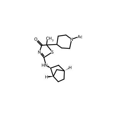 CC(=O)N1CCC(C2(C)SC(N[C@H]3C[C@H]4CC[C@H]3C4)=NC2=O)CC1